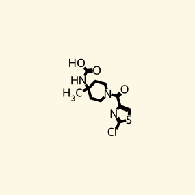 CC1(NC(=O)O)CCN(C(=O)c2csc(Cl)n2)CC1